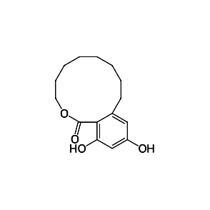 O=C1OCCCCCCCCc2cc(O)cc(O)c21